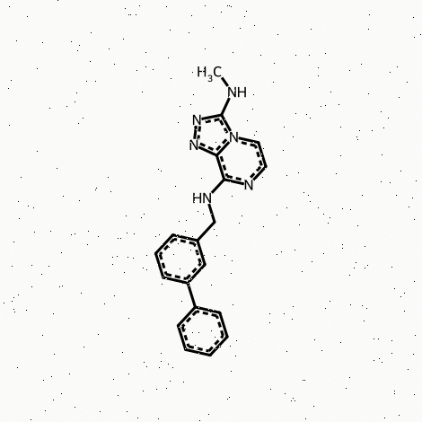 CNc1nnc2c(NCc3cccc(-c4ccccc4)c3)nccn12